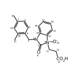 Cc1ccc(CN2C(=O)[N+]([O-])(CCC(=O)O)c3ccccc32)c(C)c1